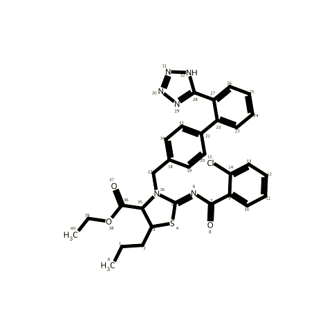 CCCC1SC(=NC(=O)c2ccccc2Cl)N(Cc2ccc(-c3ccccc3-c3nnn[nH]3)cc2)C1C(=O)OCC